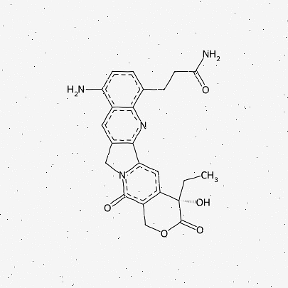 CC[C@@]1(O)C(=O)OCc2c1cc1n(c2=O)Cc2cc3c(N)ccc(CCC(N)=O)c3nc2-1